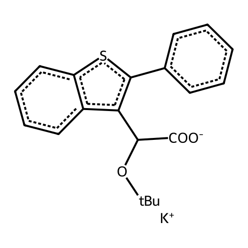 CC(C)(C)OC(C(=O)[O-])c1c(-c2ccccc2)sc2ccccc12.[K+]